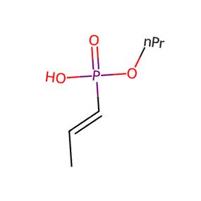 CC=CP(=O)(O)OCCC